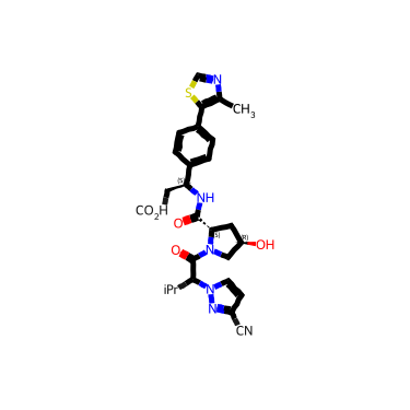 Cc1ncsc1-c1ccc([C@H](CC(=O)O)NC(=O)[C@@H]2C[C@@H](O)CN2C(=O)C(C(C)C)n2ccc(C#N)n2)cc1